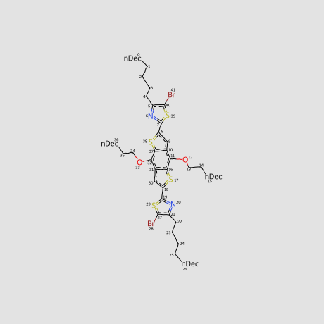 CCCCCCCCCCCCCCc1nc(-c2cc3c(OCCCCCCCCCCCC)c4sc(-c5nc(CCCCCCCCCCCCCC)c(Br)s5)cc4c(OCCCCCCCCCCCC)c3s2)sc1Br